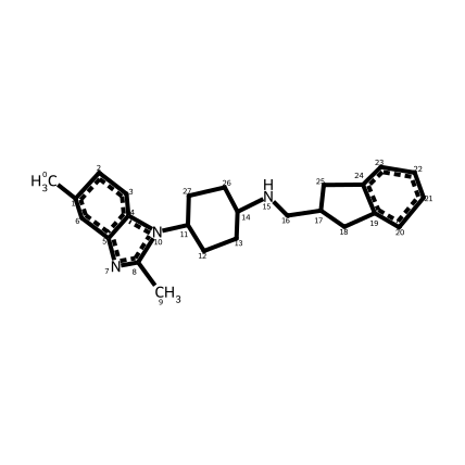 Cc1ccc2c(c1)nc(C)n2C1CCC(NCC2Cc3ccccc3C2)CC1